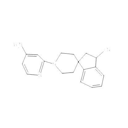 N#CC1CC2(CCN(c3cc(N)ccn3)CC2)c2ccccc21